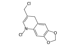 ClCC1=CN(Cl)c2cc3c(cc2C1)OCO3